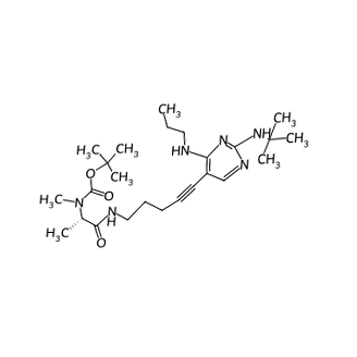 CCCNc1nc(NC(C)(C)C)ncc1C#CCCCNC(=O)[C@H](C)N(C)C(=O)OC(C)(C)C